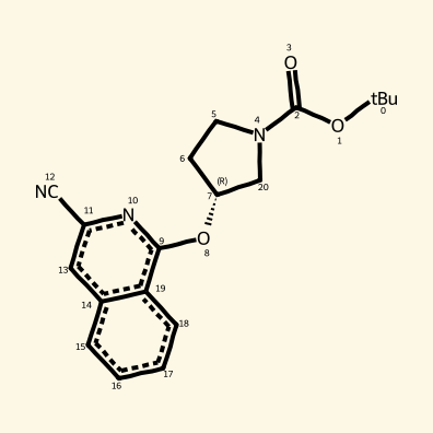 CC(C)(C)OC(=O)N1CC[C@@H](Oc2nc(C#N)cc3ccccc23)C1